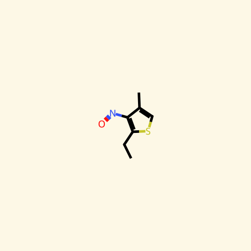 CCc1scc(C)c1N=O